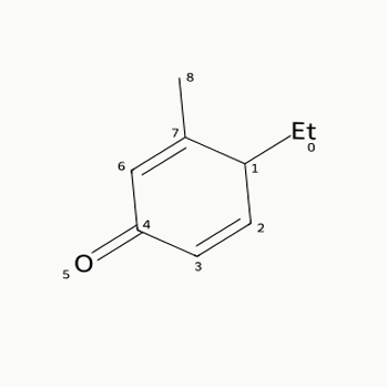 CCC1C=CC(=O)C=C1C